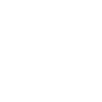 COc1cc(B2OC(C)(C)C(C)(C)O2)c2ccn(CCOC(N)=O)c2c1